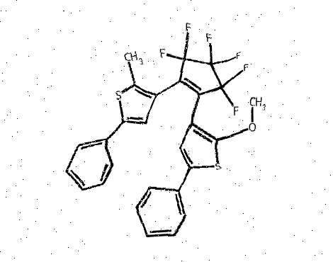 COc1sc(-c2ccccc2)cc1C1=C(c2cc(-c3ccccc3)sc2C)C(F)(F)C(F)(F)C1(F)F